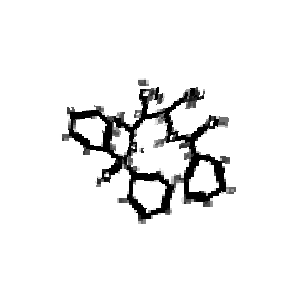 CC(C)C(OP(=O)(c1ccccc1)c1ccccc1)C(C)C(OC(=O)c1ccccc1)C(C)(C)C